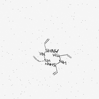 C=C[SiH]1N[SiH](C=C)N[SiH](C=C)N[SiH](C=C)N1